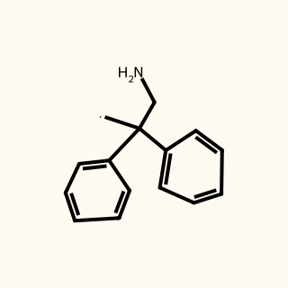 [CH2]C(CN)(c1ccccc1)c1ccccc1